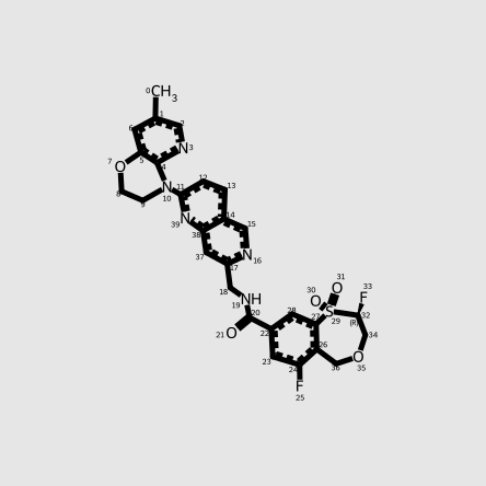 Cc1cnc2c(c1)OCCN2c1ccc2cnc(CNC(=O)c3cc(F)c4c(c3)S(=O)(=O)[C@@H](F)COC4)cc2n1